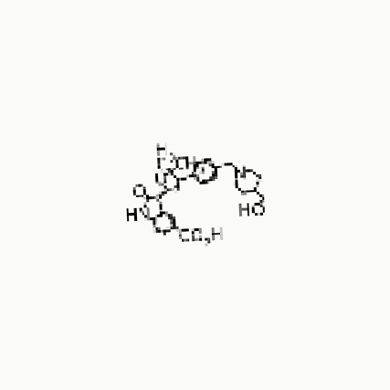 CC1(C)OC(=C2C(=O)Nc3ccc(C(=O)O)cc32)C=C1c1ccc(CN2CCC(CO)CC2)cc1